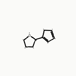 C1=CCC(C2CCCO2)=C1